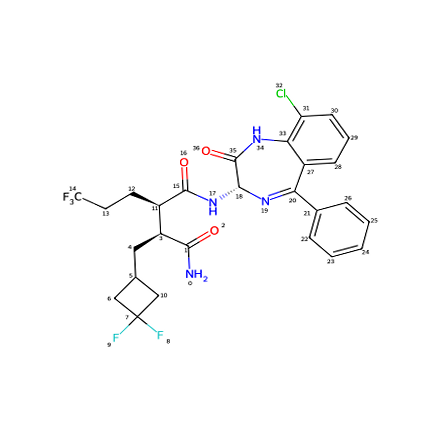 NC(=O)[C@@H](CC1CC(F)(F)C1)[C@@H](CCC(F)(F)F)C(=O)N[C@H]1N=C(c2ccccc2)c2cccc(Cl)c2NC1=O